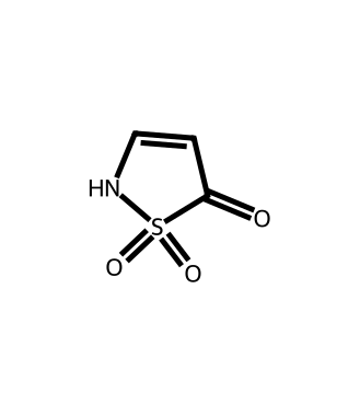 O=C1C=CNS1(=O)=O